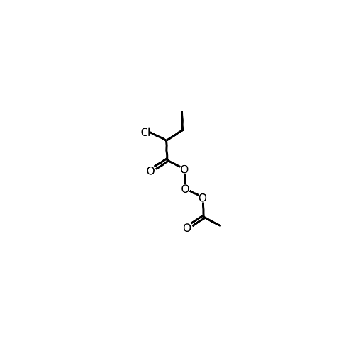 CCC(Cl)C(=O)OOOC(C)=O